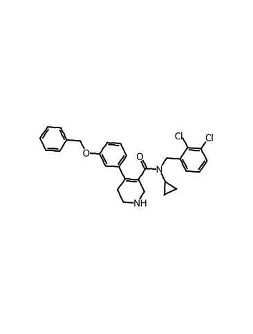 O=C(C1=C(c2cccc(OCc3ccccc3)c2)CCNC1)N(Cc1cccc(Cl)c1Cl)C1CC1